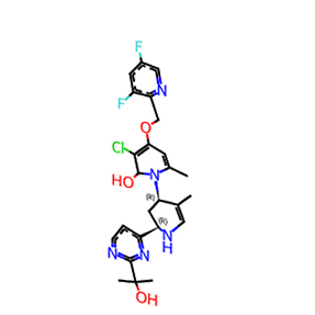 CC1=CN[C@@H](c2ccnc(C(C)(C)O)n2)C[C@H]1N1C(C)=CC(OCc2ncc(F)cc2F)=C(Cl)C1O